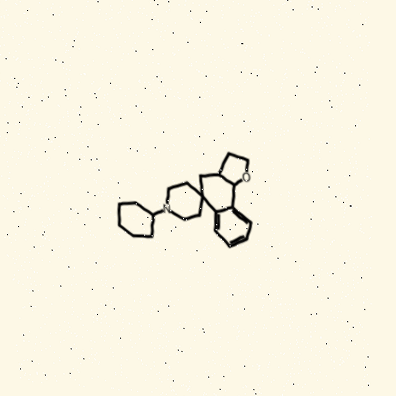 c1ccc2c(c1)C1OCCC1CC21CCN(C2CCCCC2)CC1